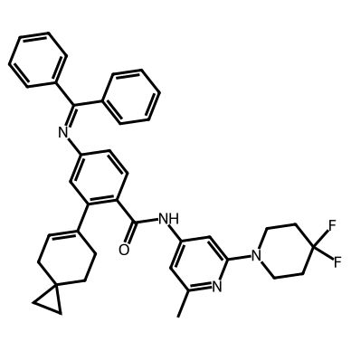 Cc1cc(NC(=O)c2ccc(N=C(c3ccccc3)c3ccccc3)cc2C2=CCC3(CC2)CC3)cc(N2CCC(F)(F)CC2)n1